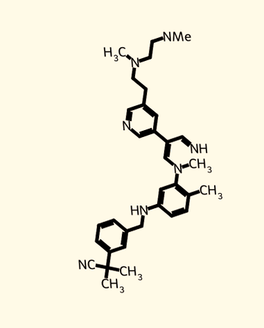 CNCCN(C)CCc1cncc(/C(C=N)=C/N(C)c2cc(NCc3cccc(C(C)(C)C#N)c3)ccc2C)c1